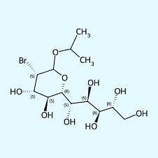 CC(C)OC1O[C@H]([C@@H](O)[C@@H](O)[C@H](O)[C@H](O)CO)[C@@H](O)[C@H](O)[C@@H]1Br